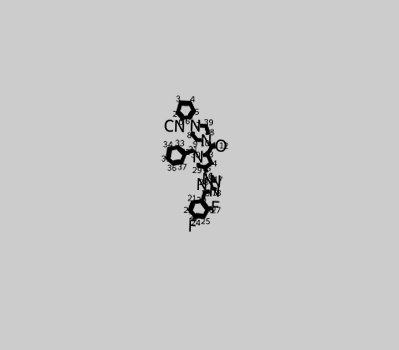 N#Cc1ccccc1N1CCN(C(=O)C2CC(n3nnc(-c4ccc(F)cc4F)n3)CN2Cc2ccccc2)CC1